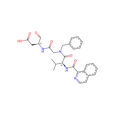 CC(C)[C@H](NC(=O)c1nccc2ccccc12)C(=O)N(CC(=O)N[C@H](C=O)CC(=O)O)Cc1ccccc1